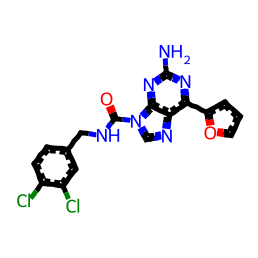 Nc1nc(-c2ccco2)c2ncn(C(=O)NCc3ccc(Cl)c(Cl)c3)c2n1